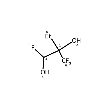 CCC(O)(C(O)F)C(F)(F)F